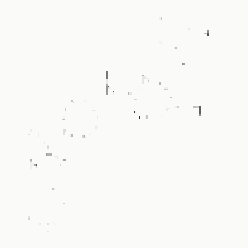 O=S(=O)(NC1CCOCC1)c1ccc(Nc2ncc(Cl)c(O[C@@H]3CCC[C@@H]3O)n2)cc1